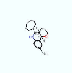 CCCCc1ccc2c(c1)[C@H]1OCCC[C@H]1[C@@H](C1CCCCCC1)N2